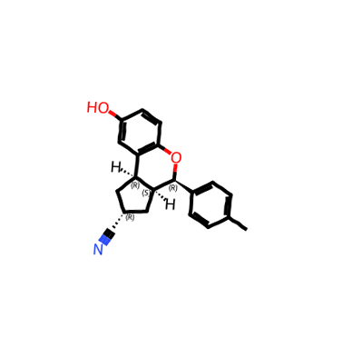 Cc1ccc([C@@H]2Oc3ccc(O)cc3[C@@H]3C[C@@H](C#N)C[C@@H]32)cc1